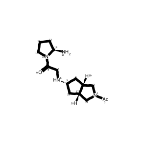 CC(=O)N1C[C@H]2C[C@@H](NCC(=O)N3CCC[C@H]3N)C[C@H]2C1